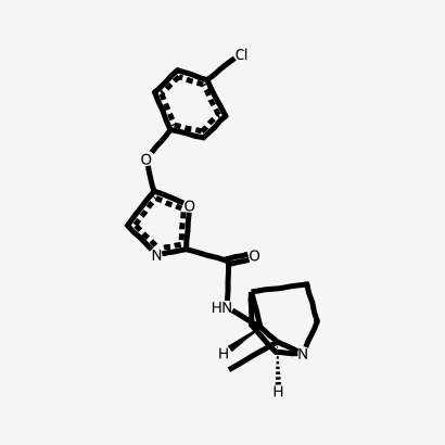 C[C@H]1[C@H](NC(=O)c2ncc(Oc3ccc(Cl)cc3)o2)C2CCN1CC2